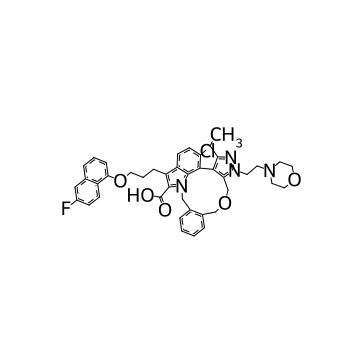 CCc1nn(CCN2CCOCC2)c2c1-c1c(Cl)ccc3c(CCCOc4cccc5cc(F)ccc45)c(C(=O)O)n(c13)Cc1ccccc1COC2